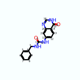 O=C(NCc1ccccc1)Nc1ccc2c(=O)[nH]cnc2c1